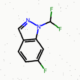 Fc1ccc2cnn(C(F)F)c2c1